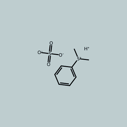 C[S+](C)c1ccccc1.O=S(=O)([O-])[O-].[H+]